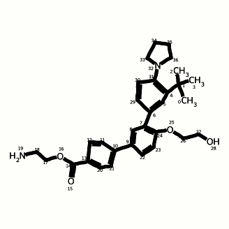 CC(C)(C)c1cc(-c2cc(-c3ccc(C(=O)OCCN)cc3)ccc2OCCO)ccc1N1CCCC1